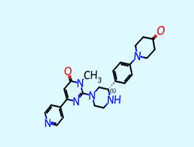 Cn1c(N2CCN[C@@H](c3ccc(N4CCC(=O)CC4)cc3)C2)nc(-c2ccncc2)cc1=O